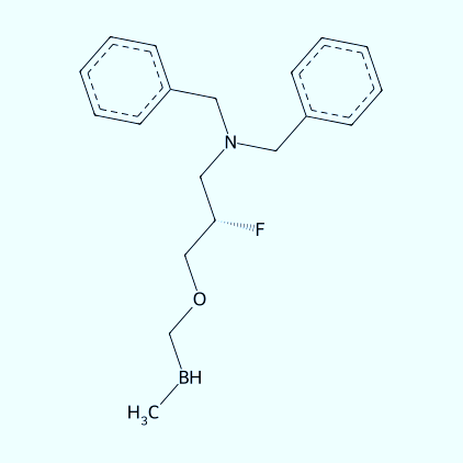 CBCOC[C@@H](F)CN(Cc1ccccc1)Cc1ccccc1